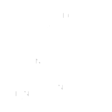 CCOc1cc(F)nc(N)n1